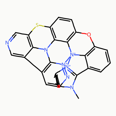 Cn1c2[n+](c3ccccc31)[N+]13c4c(cccc4-2)Oc2ccc4c(c21)-n1c2c(cncc2c2ccn[n+]3c21)S4